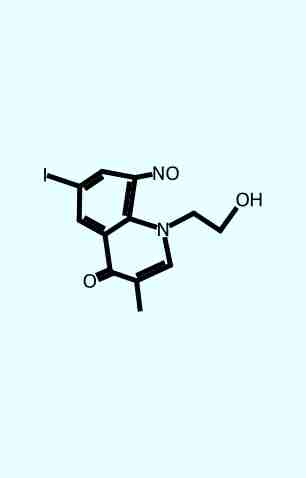 Cc1cn(CCO)c2c(N=O)cc(I)cc2c1=O